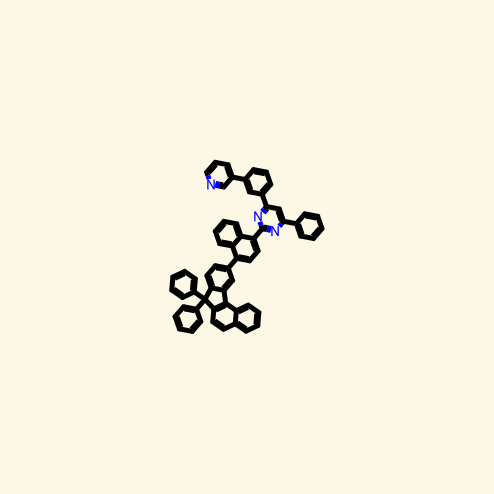 c1ccc(-c2cc(-c3cccc(-c4cccnc4)c3)nc(-c3ccc(-c4ccc5c(c4)-c4c(ccc6ccccc46)C5(c4ccccc4)c4ccccc4)c4ccccc34)n2)cc1